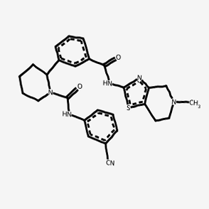 CN1CCc2sc(NC(=O)c3cccc(C4CCCCN4C(=O)Nc4cccc(C#N)c4)c3)nc2C1